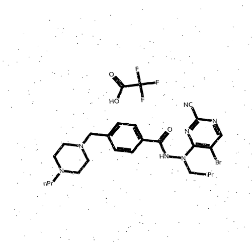 CCCN1CCN(Cc2ccc(C(=O)NN(CC(C)C)c3nc(C#N)ncc3Br)cc2)CC1.O=C(O)C(F)(F)F